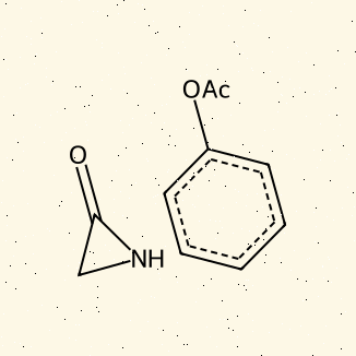 CC(=O)Oc1ccccc1.O=C1CN1